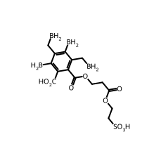 BCc1c(B)c(CB)c(C(=O)OCCC(=O)OCCS(=O)(=O)O)c(C(=O)O)c1B